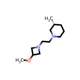 COC1CN(CCN2CCC[C@@H](C)C2)C1